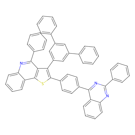 c1ccc(-c2cc(-c3ccccc3)cc(-c3c(-c4ccc(-c5nc(-c6ccccc6)nc6ccccc56)cc4)sc4c3c(-c3ccccc3)nc3ccccc34)c2)cc1